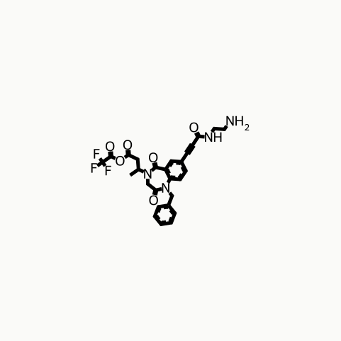 CC(CC(=O)OC(=O)C(F)(F)F)N1CC(=O)N(Cc2ccccc2)c2ccc(C#CC(=O)NCCN)cc2C1=O